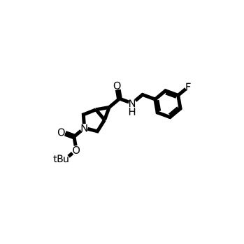 CC(C)(C)OC(=O)N1CC2C(C1)C2C(=O)NCc1cccc(F)c1